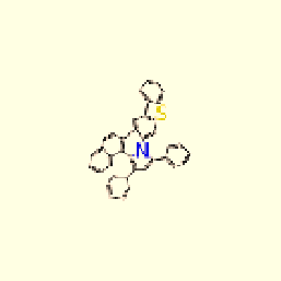 c1ccc(-c2cc(-c3ccccc3)n3c4cc5sc6ccccc6c5cc4c4ccc5ccccc5c4c23)cc1